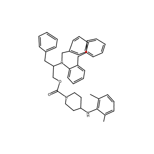 Cc1cccc(C)c1NC1CCN(C(=O)OCC(Cc2ccccc2)N(Cc2ccccc2)c2ccccc2Cc2ccccc2)CC1